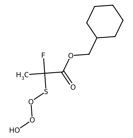 CC(F)(SOOO)C(=O)OCC1CCCCC1